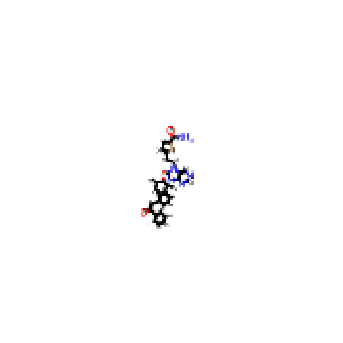 CC1C=c2c(ccc3c2=CC(=O)c2ccccc2-3)C(C)(N2CN(CCc3ccc(C(N)=O)s3)c3cncnc32)C1=O